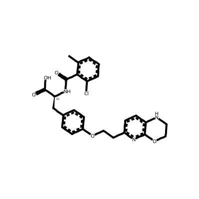 Cc1cccc(Cl)c1C(=O)N[C@@H](Cc1ccc(OCCc2ccc3c(n2)OCCN3)cc1)C(=O)O